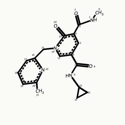 CNC(=O)c1cc(C(=O)NC2CC2)cn(Cc2cccc(C)n2)c1=O